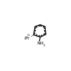 [CH2][C@@H](C)c1ccccc1N